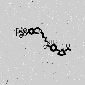 CC(=O)c1cccc(-c2ccc(C(=O)NCCCCN3CCc4ccc(OS(=O)(=O)C(F)(F)F)cc4C3)cc2)c1